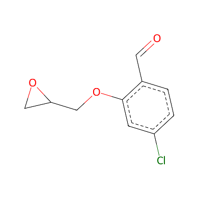 O=Cc1ccc(Cl)cc1OCC1CO1